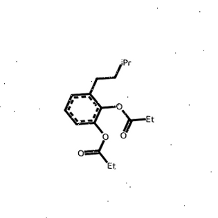 CCC(=O)Oc1cccc(CCC(C)C)c1OC(=O)CC